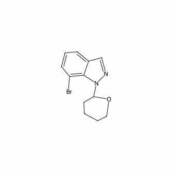 Brc1cccc2cnn(C3CCCCO3)c12